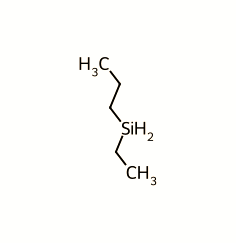 CCC[SiH2]CC